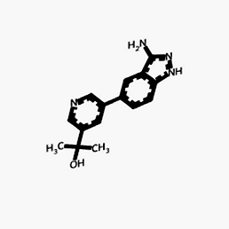 CC(C)(O)c1cncc(-c2ccc3[nH]nc(N)c3c2)c1